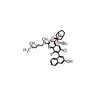 CN(C)CCCN(C)c1nc(N2CC3CCC(C2)N3C(=O)OC(C)(C)C)c2cc(Cl)c(-c3cc(O)cc4ccccc34)c(F)c2n1